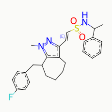 CC(NS(=O)(=O)/C=C/c1nn(C)c2c1CCCCC2Cc1ccc(F)cc1)c1ccccc1